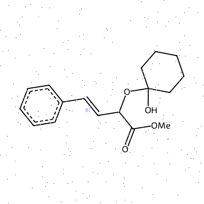 COC(=O)C(/C=C/c1ccccc1)OC1(O)CCCCC1